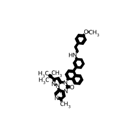 COc1ccc(CCNC2C=C(c3ccc(N(C(N)=O)c4cc(C(C)(C)C)nn4-c4ccc(C)nc4)c4ccccc34)CCC2)cc1